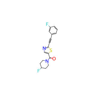 O=C(c1cnc(C#Cc2cccc(F)c2)s1)N1CCC(F)CC1